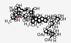 C=CC(C)(O)CC/C=C(\C)C(=O)OC1C(O)C(CO)OC(OC(=O)C23CCC(C)(C)CC2C2=CCC4C(C)(CCC5C(C)(C)C(OC6OC(COC7OCC(OC(C)=O)C(O)C7OC7OC(COC(C)=O)C(O)C(O)C7O)C(O)C(O)C6OC6OCC(O)C(O)C6O)CCC54C)C2C(O)C3O)C1OC1OCC(OC2OCC(O)C(OC3OCC(C)C(O)C3O)C2O)C(O)C1C